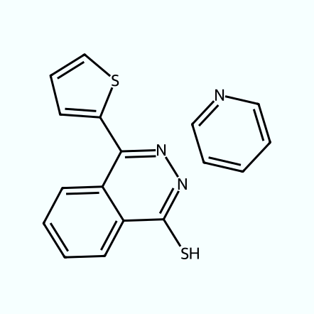 Sc1nnc(-c2cccs2)c2ccccc12.c1ccncc1